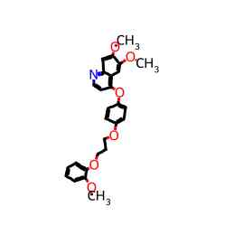 COc1cc2nccc(Oc3ccc(OCCCOc4ccccc4OC)cc3)c2cc1OC